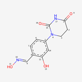 O=C1CCN(c2ccc(C=NO)c(O)c2)C(=O)N1